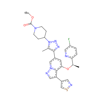 Cc1c(-c2cc(O[C@H](C)c3ccc(F)cn3)c3c(-c4cnsc4)cnn3c2)nnn1C1CCN(C(=O)OC(C)(C)C)CC1